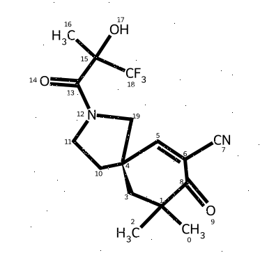 CC1(C)C[C@@]2(C=C(C#N)C1=O)CCN(C(=O)C(C)(O)C(F)(F)F)C2